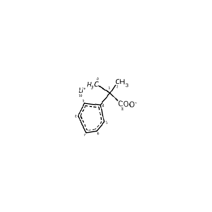 CC(C)(C(=O)[O-])c1ccccc1.[Li+]